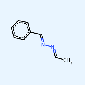 CC=N/N=C/c1ccccc1